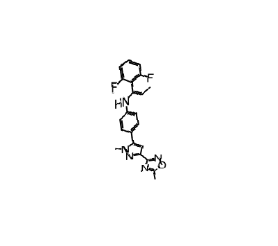 CC=C(Nc1ccc(-c2cc(-c3noc(C)n3)nn2C)cc1)c1c(F)cccc1F